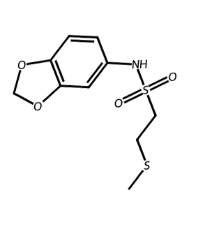 CSCCS(=O)(=O)Nc1ccc2c(c1)OCO2